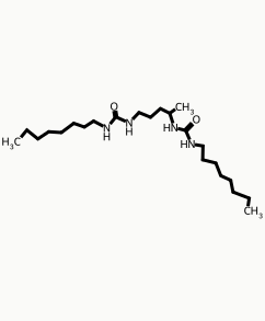 CCCCCCCCNC(=O)NCCCC(C)NC(=O)NCCCCCCCC